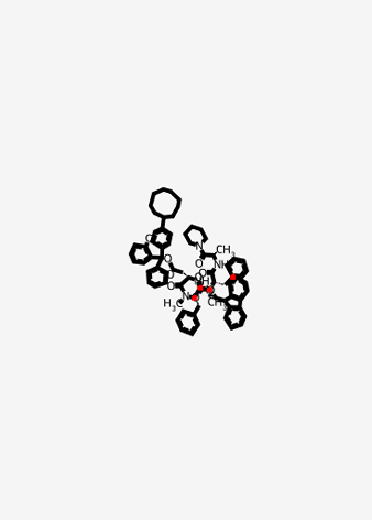 C[C@H](NC(=O)[C@H](Cc1ccccc1)N(C)C(=O)[C@H](Cc1ccccc1)N(C)C(=O)[C@H](CC(=O)OC(c1ccccc1)(c1ccc(C2CCCCCCCC2)cc1)c1ccccc1Cl)NC(=O)OCC1c2ccccc2-c2ccccc21)C(=O)N1CCCCC1